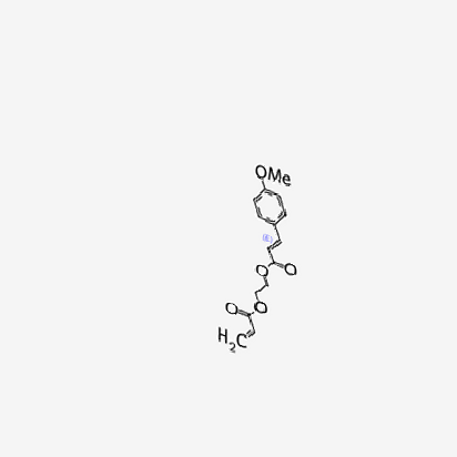 C=CC(=O)OCCOC(=O)/C=C/c1ccc(OC)cc1